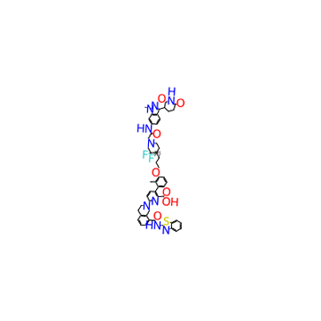 Cc1c(OCCC[C@@H]2CCN(CC(=O)Nc3ccc4c(C5CCC(=O)NC5=O)nn(C)c4c3)CC2(F)F)cccc1-c1ccc(N2CCc3cccc(C(=O)Nc4nc5ccccc5s4)c3C2)nc1C(=O)O